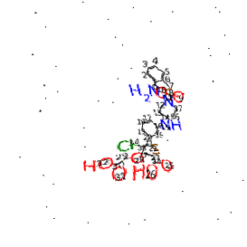 Nc1ccccc1CS(=O)(=O)N1CCC(Nc2cccc(-c3sc(C(=O)O)c(OCC(=O)O)c3Cl)c2)CC1